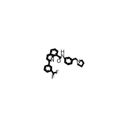 O=C(Nc1cccc(CN2CCCC2)c1)c1cccc2ccc(-c3cccc(C(F)F)c3)nc12